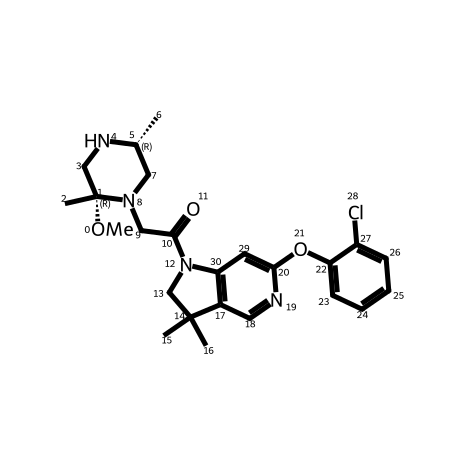 CO[C@]1(C)CN[C@H](C)CN1CC(=O)N1CC(C)(C)c2cnc(Oc3ccccc3Cl)cc21